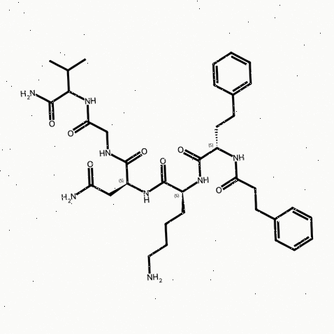 CC(C)C(NC(=O)CNC(=O)[C@H](CC(N)=O)NC(=O)[C@H](CCCCN)NC(=O)[C@H](CCc1ccccc1)NC(=O)CCc1ccccc1)C(N)=O